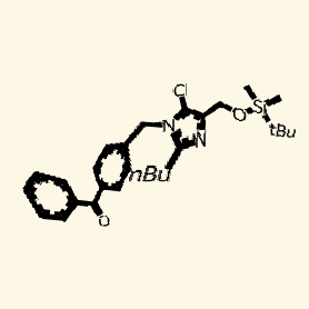 CCCCc1nc(CO[Si](C)(C)C(C)(C)C)c(Cl)n1Cc1ccc(C(=O)c2ccccc2)cc1